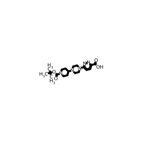 CC(C)(C)OC(=O)N1CCC(N2CCN(c3ccc(C(=O)O)nn3)CC2)CC1